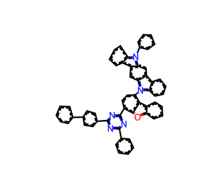 c1ccc(-c2ccc(-c3nc(-c4ccccc4)nc(-c4ccc(-n5c6ccccc6c6cc7c(cc65)c5ccccc5n7-c5ccccc5)c5c4oc4ccccc45)n3)cc2)cc1